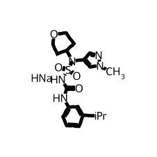 CC(C)c1cccc(NC(=O)NS(=O)(=O)N(c2cnn(C)c2)C2CCOCC2)c1.[NaH]